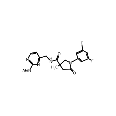 CNc1nccc(CNC(=O)C2(C)CC(=O)N(c3cc(F)cc(F)c3)C2)n1